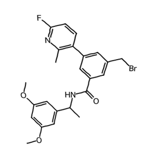 COc1cc(OC)cc(C(C)NC(=O)c2cc(CBr)cc(-c3ccc(F)nc3C)c2)c1